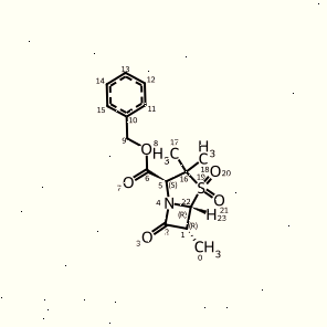 C[C@@H]1C(=O)N2[C@@H](C(=O)OCc3ccccc3)C(C)(C)S(=O)(=O)[C@H]12